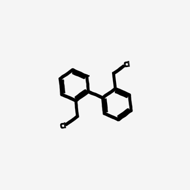 ClCc1ccc[c]c1-c1ccccc1CCl